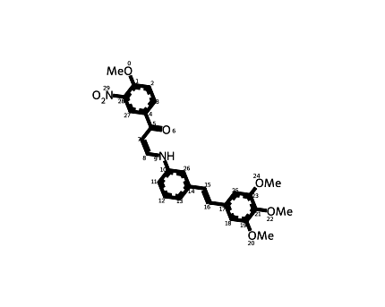 COc1ccc(C(=O)/C=C\Nc2cccc(C=Cc3cc(OC)c(OC)c(OC)c3)c2)cc1[N+](=O)[O-]